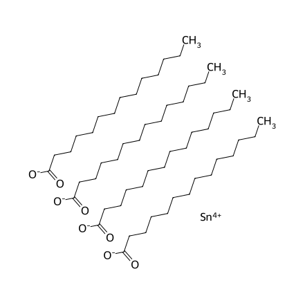 CCCCCCCCCCCCCC(=O)[O-].CCCCCCCCCCCCCC(=O)[O-].CCCCCCCCCCCCCC(=O)[O-].CCCCCCCCCCCCCC(=O)[O-].[Sn+4]